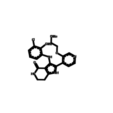 COCCOc1cnccc1-c1[nH]c2c(c1Nc1cccc(Cl)c1OC)C(=O)NCC2